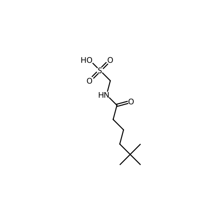 CC(C)(C)CCCC(=O)NCS(=O)(=O)O